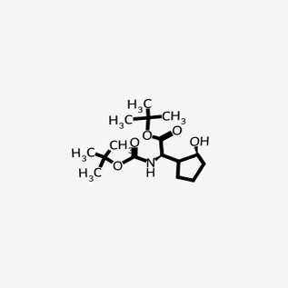 CC(C)(C)OC(=O)N[C@@H](C(=O)OC(C)(C)C)C1CCC[C@@H]1O